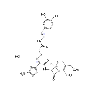 CC(=O)OCC1=C(C(=O)O)N2C(=O)C(NC(=O)/C(=N\OCC(=O)N/N=C/c3ccc(O)c(O)c3)c3csc(N)n3)[C@H]2SC1.Cl